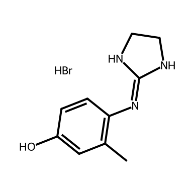 Br.Cc1cc(O)ccc1N=C1NCCN1